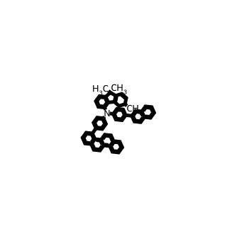 CC1C=CC2=C(C1)c1c(N(c3ccc(-c4ccc5ccccc5c4)cc3)c3ccc(-c4cccc5ccc6c7ccccc7ccc6c45)cc3)cccc1C2(C)C